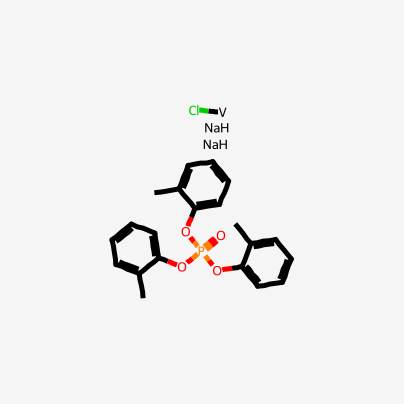 Cc1ccccc1OP(=O)(Oc1ccccc1C)Oc1ccccc1C.[Cl][V].[NaH].[NaH]